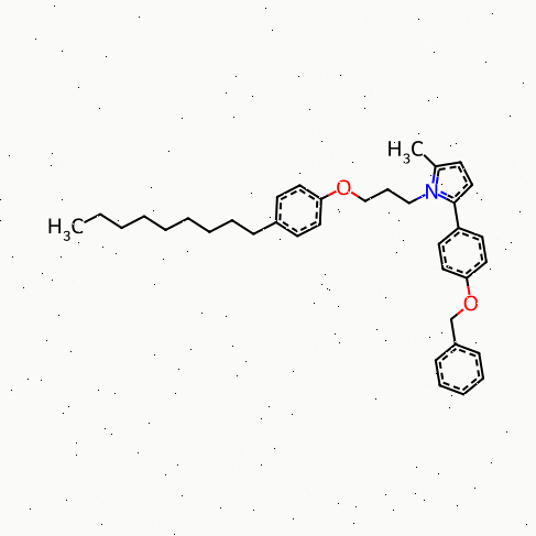 CCCCCCCCCc1ccc(OCCCn2c(C)ccc2-c2ccc(OCc3ccccc3)cc2)cc1